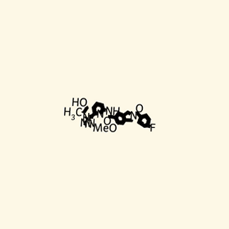 COc1cc2c(cc1C(=O)Nc1cccc(-c3nnnn3[C@H](C)CO)n1)CN(C(=O)c1ccc(F)cc1)C2